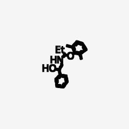 CCC(NCC(O)c1ccccc1)Oc1c(C)cccc1C